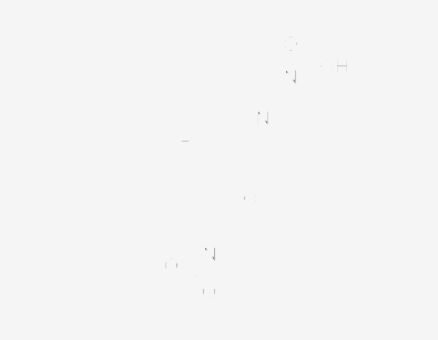 O=C(O)N1CCN(c2cc(F)cc(OC3CCN(C(=O)OCc4ccccc4)CC3)c2)CC1